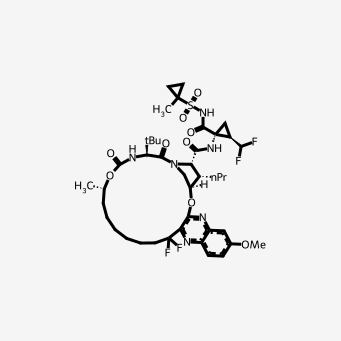 CCC[C@@H]1[C@@H]2CN(C(=O)[C@H](C(C)(C)C)NC(=O)O[C@@H](C)CCCCCCC(F)(F)c3nc4ccc(OC)cc4nc3O2)[C@@H]1C(=O)N[C@]1(C(=O)NS(=O)(=O)C2(C)CC2)C[C@H]1C(F)F